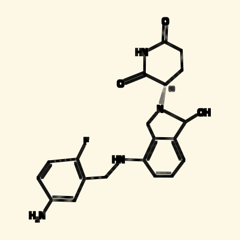 Nc1ccc(F)c(CNc2cccc3c2CN([C@H]2CCC(=O)NC2=O)C3O)c1